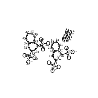 O=S(=O)([O-])c1cc(S(=O)(=O)[O-])c2ccccc2c1.O=S(=O)([O-])c1cc(S(=O)(=O)[O-])c2ccccc2c1.[Na+].[Na+].[Na+].[Na+]